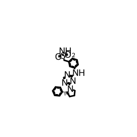 NS(=O)(=O)Cc1cccc(Nc2ncnc(N3CCC[C@@H]3c3ccccc3)n2)c1